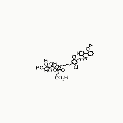 O=C(O)CCCC(=O)N(CCCCc1cc(Cl)c(COC2(c3cnccc3-c3ccccc3OC3CC3)CC2)cc1Cl)C[C@H](O)[C@@H](O)[C@H](O)[C@H](O)CO